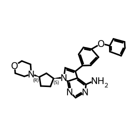 Nc1ncnc2c1c(-c1ccc(Oc3ccccc3)cc1)cn2[C@H]1CC[C@@H](N2CCOCC2)C1